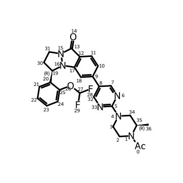 CC(=O)N1CCN(c2ncc(-c3ccc4c(=O)n5n(c4c3)[C@@H](c3ccccc3OC(F)F)CC5)cn2)C[C@H]1C